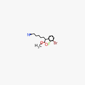 COC(=O)C(CCCCCC#N)c1cccc(Br)c1F